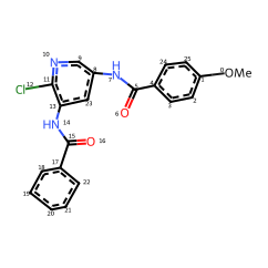 COc1ccc(C(=O)Nc2cnc(Cl)c(NC(=O)c3ccccc3)c2)cc1